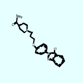 CNC(=O)C1CCN(CCCOc2ccc(-n3nc4ccccc4c3Cl)cc2)CC1